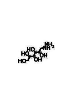 NNC[C@H](O)[C@H](O)[C@@H](O)[C@H](O)CO